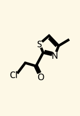 Cc1csc(C(=O)CCl)n1